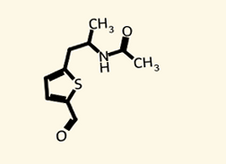 CC(=O)NC(C)Cc1ccc(C=O)s1